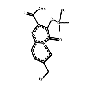 COC(=O)c1nc2ccc(CBr)cn2c(=O)c1O[Si](C)(C)C(C)(C)C